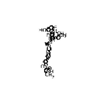 C=C1CC[C@H](N2Cc3cc(N4CCN(CC5(F)CCN(CC6(COc7nc(N8CCC[C@@](C)(O)C8)c8cnc(-c9cc(O)cc%10ccc(F)c(CC)c9%10)c(F)c8n7)CC6)CC5)CC4)ccc3C2=O)C(=O)N1